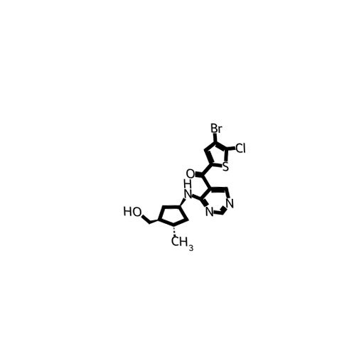 C[C@H]1C[C@H](Nc2ncncc2C(=O)c2cc(Br)c(Cl)s2)C[C@@H]1CO